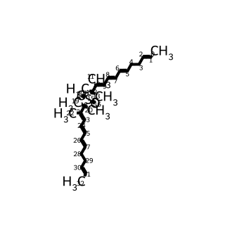 C/C=C/CC/C=C/C=C/C=C(\C)C(C)(C)S(=O)(=O)C(C)(C)/C(C)=C/C=C/C=C/CC/C=C/C